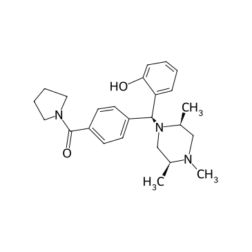 C[C@H]1CN([C@@H](c2ccc(C(=O)N3CCCC3)cc2)c2ccccc2O)[C@@H](C)CN1C